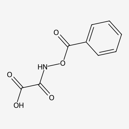 O=C(O)C(=O)NOC(=O)c1ccccc1